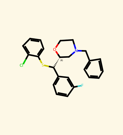 Fc1cccc(C(Sc2ccccc2Cl)[C@H]2CN(Cc3ccccc3)CCO2)c1